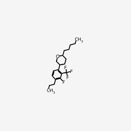 CCCCCC1CCC(c2ccc(CCC)c(F)c2C(F)(F)F)CO1